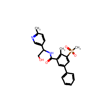 Cc1ccc(C(CO)NC(=O)c2cc(-c3ccccc3)cc(S(C)(=O)=O)c2C)cn1